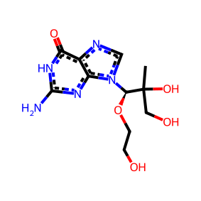 CC(O)(CO)[C@@H](OCCO)n1cnc2c(=O)[nH]c(N)nc21